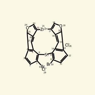 Brc1ccc2c3c1Sc1c(Br)ccc4c1C=C1[C](=COC14)[Zr+2][C]1=COC2C1=C3.[Cl-].[Cl-]